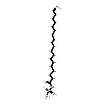 C=CCCCCCCCCCCCCCCCCCC(=O)NS(=O)(=O)C(F)(F)F